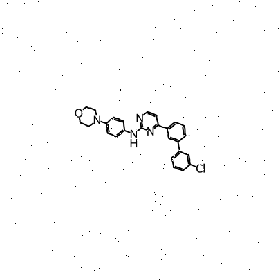 Clc1cccc(-c2[c]ccc(-c3ccnc(Nc4ccc(N5CCOCC5)cc4)n3)c2)c1